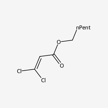 CCCCCCOC(=O)C=C(Cl)Cl